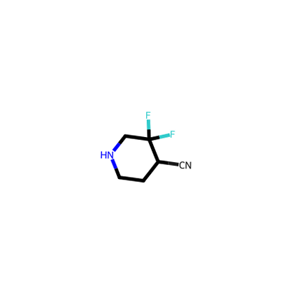 N#CC1CCNCC1(F)F